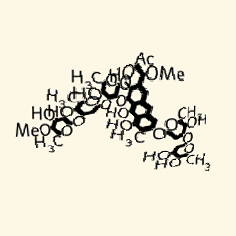 COC1C(O)CC(OC2CC(OC3CC(O[C@@H]4C(=O)c5c(cc6cc(OC7CC(OC8CC(O)C(O)C(C)O8)C(O)C(C)O7)c(C)c(O)c6c5O)CC4[C@H](OC)[C@@H](O)C(C)=O)OC(C)C3O)OC(C)C2O)OC1C